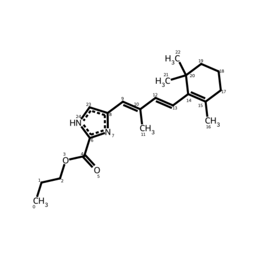 CCCOC(=O)c1nc(/C=C(\C)C=CC2=C(C)CCCC2(C)C)c[nH]1